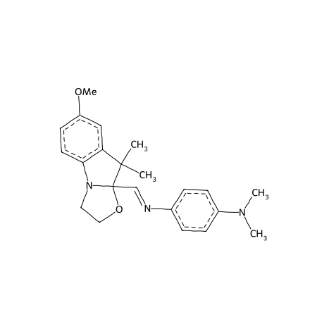 COc1ccc2c(c1)C(C)(C)C1(/C=N/c3ccc(N(C)C)cc3)OCCN21